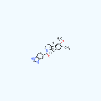 COc1cc2c(cc1C)C[C@@H]1[C@H]2CCCN1C(=O)c1ccc2[nH]cnc2c1